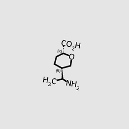 CC(N)[C@H]1CC[C@H](C(=O)O)OC1